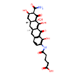 NC(=O)C1C(=O)[C@@]2(O)C(O)=C3C(=O)c4c(ccc(NC(=O)CCCC(=O)O)c4O)C[C@H]3C[C@H]2CC1O